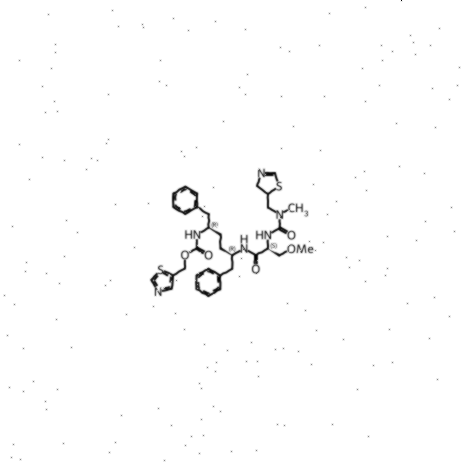 COC[C@H](NC(=O)N(C)CC1CN=CS1)C(=O)N[C@H](CC[C@H](Cc1ccccc1)NC(=O)OCc1cncs1)Cc1ccccc1